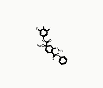 CCCCOC1=C(C(=O)Oc2ccccc2)C=CC(OC)(C(=O)Oc2cc(F)c(F)c(F)c2)C1